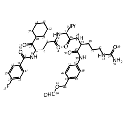 CC(C)[C@H](NC(=O)CC[C@H](NC(=O)c1ccc(F)cc1)C(=O)C1CCCCC1)C(=O)N[C@@H](CCCNC(N)=O)C(=O)Nc1ccc(COC=O)cc1